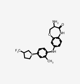 Cc1cc(N2CCC(C(F)(F)F)C2)ccc1Nc1ccc2c(c1)OCC(N)C(=O)N2